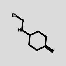 C=C1CCC(NSCC)CC1